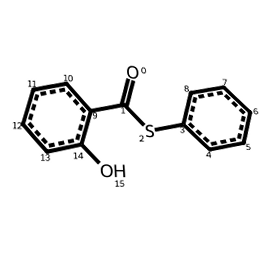 O=C(Sc1ccccc1)c1ccccc1O